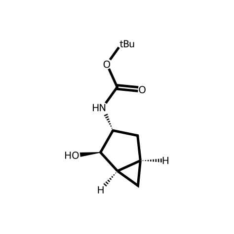 CC(C)(C)OC(=O)N[C@@H]1C[C@H]2C[C@H]2[C@H]1O